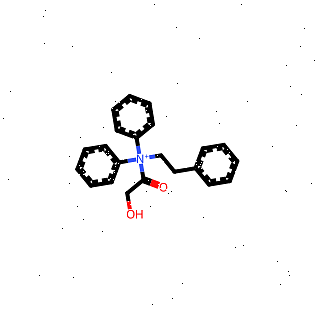 O=C(CO)[N+](CCc1ccccc1)(c1ccccc1)c1ccccc1